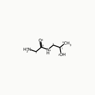 CC(O)CNC(=O)CN